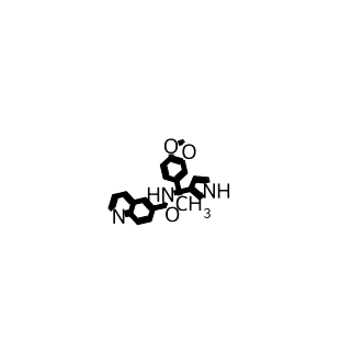 CC(NC(=O)c1ccc2ncccc2c1)(c1cc[nH]c1)c1ccc2c(c1)OCO2